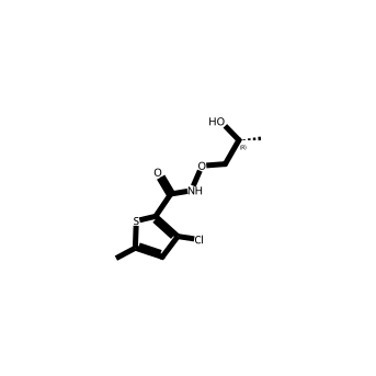 Cc1cc(Cl)c(C(=O)NOC[C@@H](C)O)s1